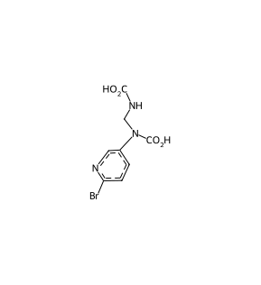 O=C(O)NCN(C(=O)O)c1ccc(Br)nc1